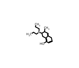 CCCN(CCC)C1CC2=C(O)C=CCC2=CC1C